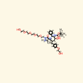 CC(C)[C@]1(C(=O)NCCOCCOCCOCCOCCO)C2[C@H](Cc3ccc(OCCO)cc3)C[C@H](O)[C@@H](NC(=O)OC(C)(C)C)C(c3ccccc3)N21